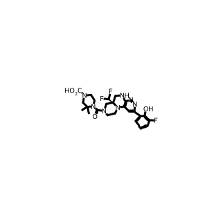 CC1(C)CN(C(=O)O)CCN1C(=O)N1CCN2c3cc(-c4cccc(F)c4O)nnc3NC[C@@]2(C(F)F)C1